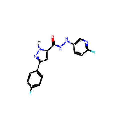 CCCn1nc(-c2ccc(F)cc2)cc1C(=O)NNc1ccc(F)nc1